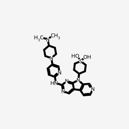 CN(C)C1CCN(c2ccc(Nc3ncc4c5ccncc5n(C5CCS(O)(O)CC5)c4n3)nc2)CC1